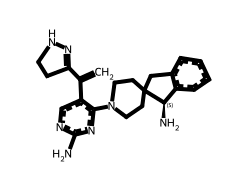 C=C(C1=NNCC1)c1cnc(N)nc1N1CCC2(CC1)Cc1ccccc1[C@H]2N